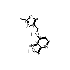 Cc1nc(CNc2ccnc3c[nH]nc23)co1